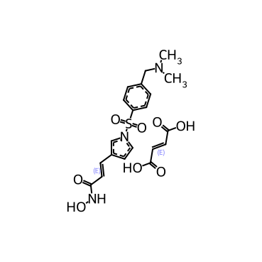 CN(C)Cc1ccc(S(=O)(=O)n2ccc(/C=C/C(=O)NO)c2)cc1.O=C(O)/C=C/C(=O)O